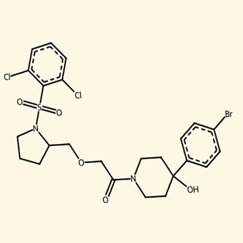 O=C(COCC1CCCN1S(=O)(=O)c1c(Cl)cccc1Cl)N1CCC(O)(c2ccc(Br)cc2)CC1